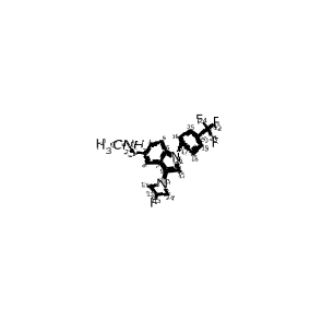 CNSc1ccc2c(c1)c(N1CC(F)C1)cn2-c1ccc(C(F)(F)F)cc1